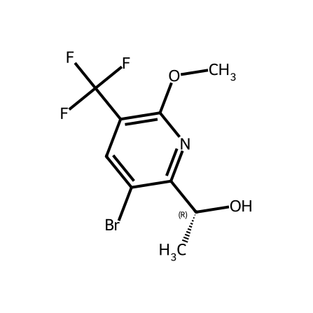 COc1nc([C@@H](C)O)c(Br)cc1C(F)(F)F